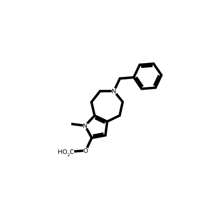 Cn1c(OC(=O)O)cc2c1CCN(Cc1ccccc1)CC2